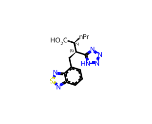 CCC[C@H](C(=O)O)[C@H](Cc1cccc2nsnc12)c1nnn[nH]1